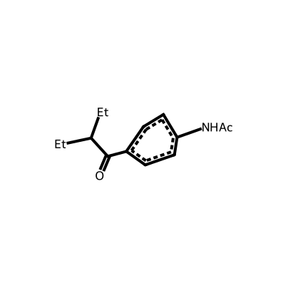 CCC(CC)C(=O)c1ccc(NC(C)=O)cc1